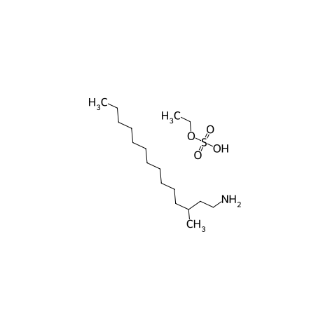 CCCCCCCCCCCC(C)CCN.CCOS(=O)(=O)O